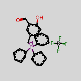 F[B-](F)(F)F.O=Cc1cc(C[PH](c2ccccc2)(c2ccccc2)c2ccccc2)ccc1O